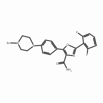 CC(=O)N1CCN(c2ccc(-c3oc(-c4c(F)cccc4F)nc3C(N)=O)cc2)CC1